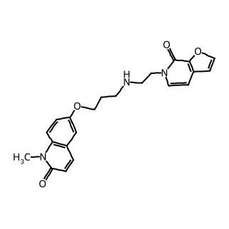 Cn1c(=O)ccc2cc(OCCCNCCn3ccc4ccoc4c3=O)ccc21